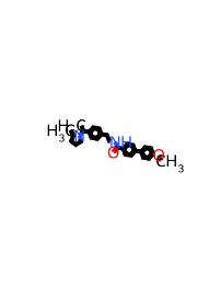 COc1ccc(-c2ccc(C(=O)NCCc3ccc(C(C)N4CCCC4C)cc3)cc2)cc1